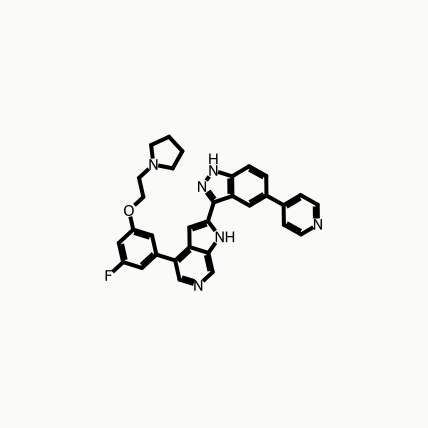 Fc1cc(OCCN2CCCC2)cc(-c2cncc3[nH]c(-c4n[nH]c5ccc(-c6ccncc6)cc45)cc23)c1